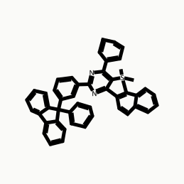 CS1(C)c2c(-c3ccccc3)nc(-c3cccc(C4(c5ccccc5)c5ccccc5-c5ccccc54)c3)nc2-c2ccc3ccccc3c21